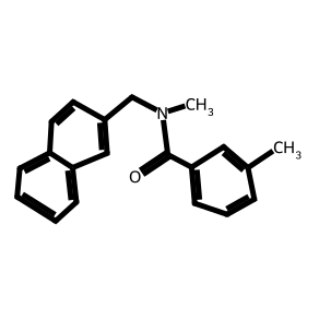 Cc1cccc(C(=O)N(C)Cc2ccc3ccccc3c2)c1